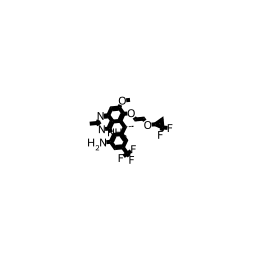 COc1cc2nc(C)nc(N)c2c([C@H](C)c2cc(N)cc(C(F)(F)F)c2)c1OCCOC1CC1(F)F